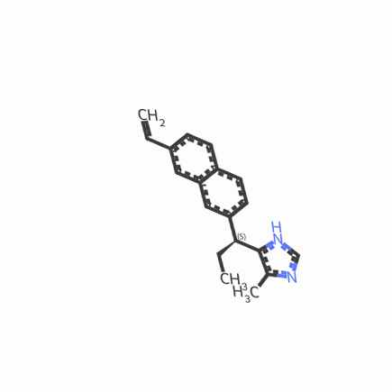 C=Cc1ccc2ccc([C@H](CC)c3[nH]cnc3C)cc2c1